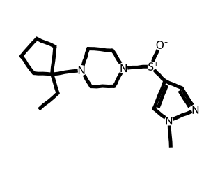 CCC1(N2CCN([S+]([O-])c3cnn(C)c3)CC2)CCCC1